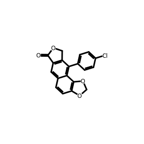 O=C1OCc2c1cc1ccc3c(c1c2-c1ccc(Cl)cc1)OCO3